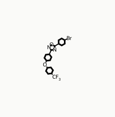 FC(F)(F)c1ccc(Oc2ccc(-c3noc(-c4ccc(Br)cc4)n3)cc2)cc1